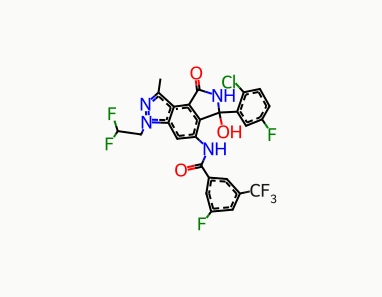 Cc1nn(CC(F)F)c2cc(NC(=O)c3cc(F)cc(C(F)(F)F)c3)c3c(c12)C(=O)NC3(O)c1cc(F)ccc1Cl